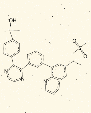 CC(CS(C)(=O)=O)c1cc(-c2cccc(-c3nccnc3-c3ccc(C(C)(C)O)cc3)c2)c2ncccc2c1